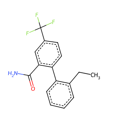 CCc1ccccc1-c1ccc(C(F)(F)F)cc1C(N)=O